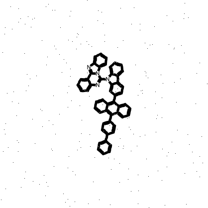 c1ccc(-c2ccc(-c3c4ccccc4c(-c4ccc5c6ccccc6n(-c6nc7ccccc7c7nc8ccccc8n67)c5c4)c4ccccc34)cc2)cc1